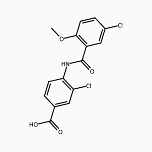 COc1ccc(Cl)cc1C(=O)Nc1ccc(C(=O)O)cc1Cl